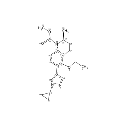 CCOc1c(-c2cnn(C3CC3)c2)ccc2c1CC[C@H](C)N2C(=O)OC